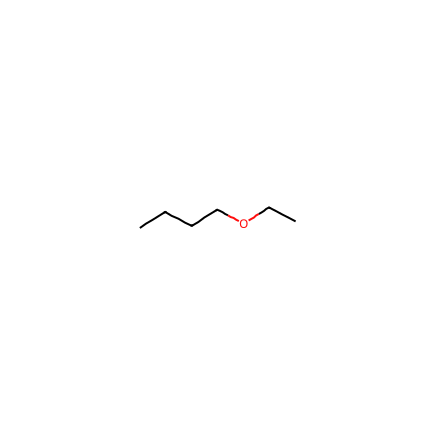 CCCCOCC